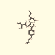 CCCc1cc(C)n2nc(-c3ccc(OCCF)cc3)c(CC(=O)N(CC)CC)c2n1